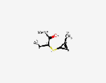 CNC(=O)C(CC(C)=O)SC1C=C1C